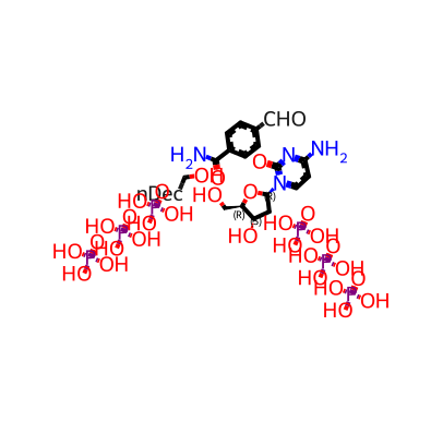 CCCCCCCCCCCO.NC(=O)c1ccc(C=O)cc1.Nc1ccn([C@H]2C[C@H](O)[C@@H](CO)O2)c(=O)n1.O=P(O)(O)O.O=P(O)(O)O.O=P(O)(O)O.O=P(O)(O)O.O=P(O)(O)O.O=P(O)(O)O